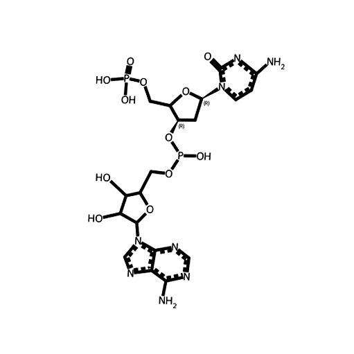 Nc1ccn([C@H]2C[C@@H](OP(O)OCC3OC(n4cnc5c(N)ncnc54)C(O)C3O)C(COP(=O)(O)O)O2)c(=O)n1